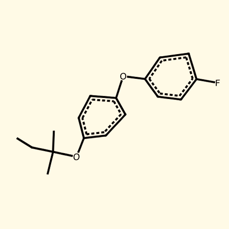 CCC(C)(C)Oc1ccc(Oc2ccc(F)cc2)cc1